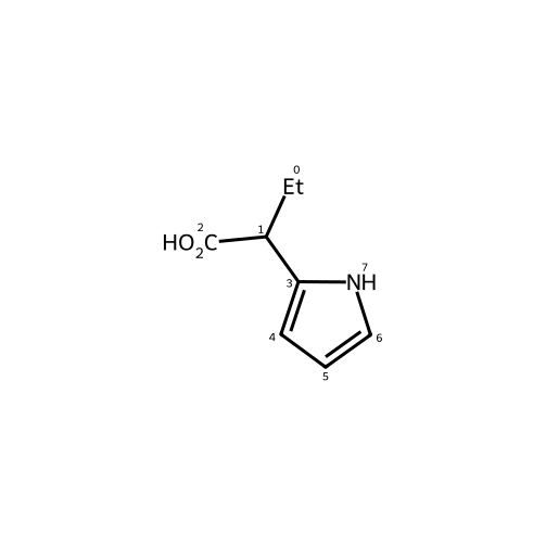 CCC(C(=O)O)c1ccc[nH]1